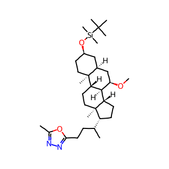 CO[C@@H]1C[C@@H]2C[C@H](O[Si](C)(C)C(C)(C)C)CC[C@]2(C)[C@H]2CC[C@]3(C)[C@@H](C(C)CCc4nnc(C)o4)CC[C@H]3[C@H]12